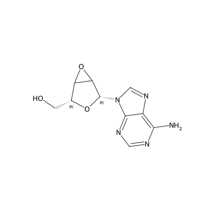 Nc1ncnc2c1ncn2[C@@H]1O[C@H](CO)C2OC21